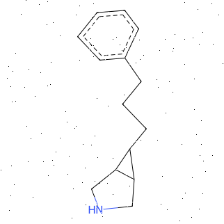 c1ccc(CCCC2C3CNCC23)cc1